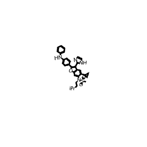 CC(C)CCN(c1cc2oc(-c3ccc(Nc4ccccc4)cc3)c(-c3ncc[nH]3)c2cc1C1CC1)S(C)(=O)=O